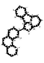 c1cnc2c(c1)ccc1ccc(-c3nc4cccc5c6ccccc6c3n45)nc12